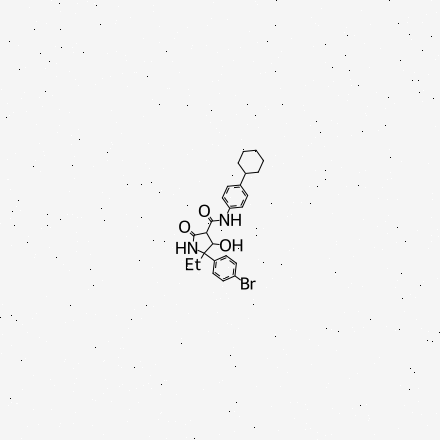 CCC1(c2ccc(Br)cc2)NC(=O)C(C(=O)Nc2ccc(C3CCCCC3)cc2)C1O